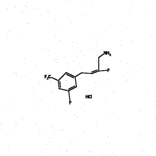 Cl.NC/C(F)=C\Cc1cc(F)cc(C(F)(F)F)c1